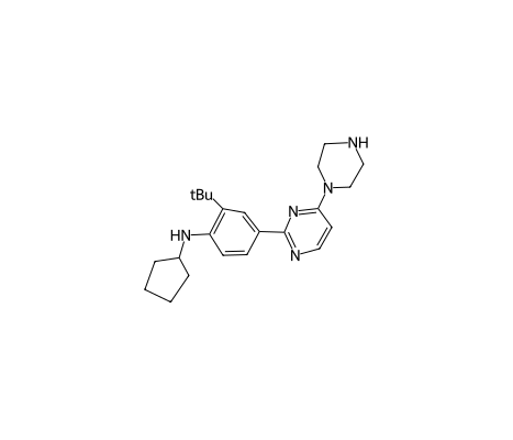 CC(C)(C)c1cc(-c2nccc(N3CCNCC3)n2)ccc1NC1CCCC1